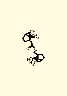 CC1(C)C2CCC1(COC(=O)CC13CCC(CC1=O)C3(C)C)C(=O)C2